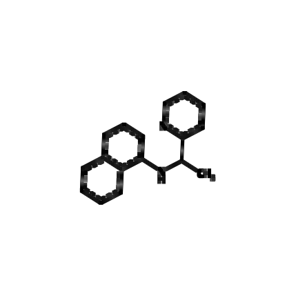 CC(Nc1cccc2ccccc12)c1ccccn1